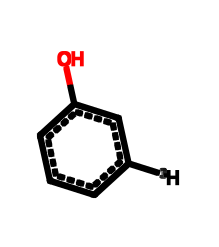 [3H]c1cccc(O)c1